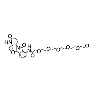 O=CCOCCOCCOCCOCCOCC(=O)Nc1cccc2c1C(=O)N(C1CCC(=O)NC1=O)C2=O